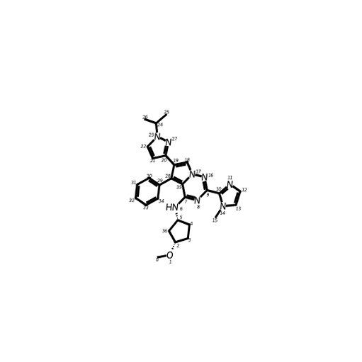 CO[C@H]1CC[C@@H](Nc2nc(-c3nccn3C)nn3cc(-c4ccn(C(C)C)n4)c(-c4ccccc4)c23)C1